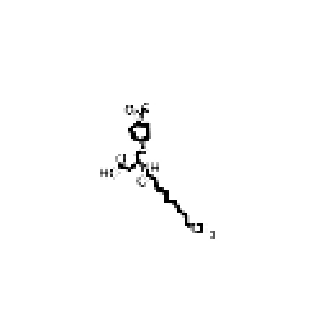 CCCCCC/C=C/CC(=O)NC(CSc1ccc([N+](=O)[O-])cc1)CC(=O)O